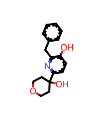 Oc1ccc(C2(O)CCOCC2)nc1Cc1ccccc1